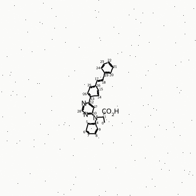 C[C@@H](C(=O)O)N(c1ccccc1)c1cc(-c2ccc(C=Cc3ccccc3)cc2)ncn1